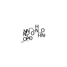 CCOP(C)(=O)c1cn(C[C@H](C)C(=O)NCC(=O)NC)nn1